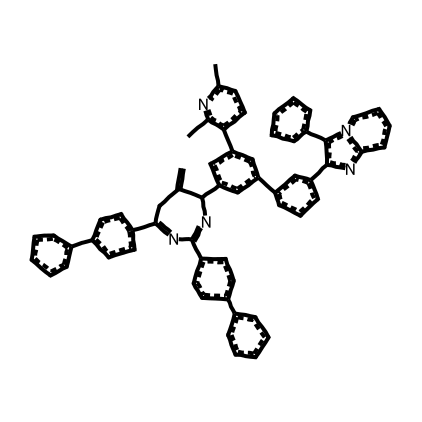 C=C1CC(c2ccc(-c3ccccc3)cc2)=NC(c2ccc(-c3ccccc3)cc2)=NC1c1cc(-c2cccc(-c3nc4ccccn4c3-c3ccccc3)c2)cc(-c2ccc(C)nc2C)c1